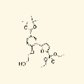 CCOP(=O)(OCC)c1ccc(-c2cc(B3OC(C)(C)C(C)(C)O3)ccc2OCCO)o1